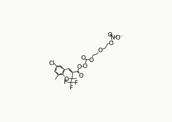 Cc1cc(Cl)cc2c1OC(C)(C(F)(F)F)C(C(=O)OOC(=O)OCCOCCO[N+](=O)[O-])=C2